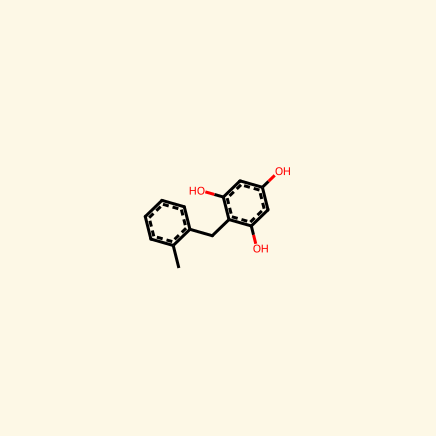 Cc1ccccc1Cc1c(O)cc(O)cc1O